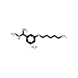 CCCCCCOc1cccc(C(N)NN)c1.O